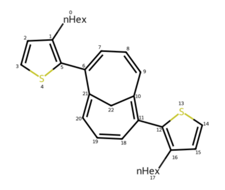 CCCCCCc1ccsc1C1=CC=CC2=C(c3sccc3CCCCCC)C=CC=C1C2